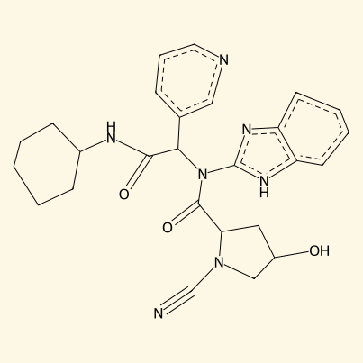 N#CN1CC(O)CC1C(=O)N(c1nc2ccccc2[nH]1)C(C(=O)NC1CCCCC1)c1cccnc1